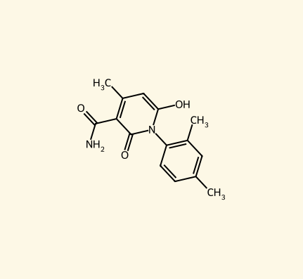 Cc1ccc(-n2c(O)cc(C)c(C(N)=O)c2=O)c(C)c1